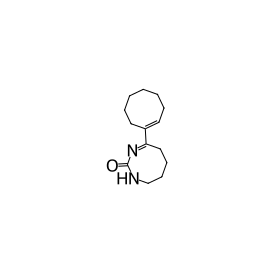 O=C1N=C(C2=CCCCCCC2)CCCCN1